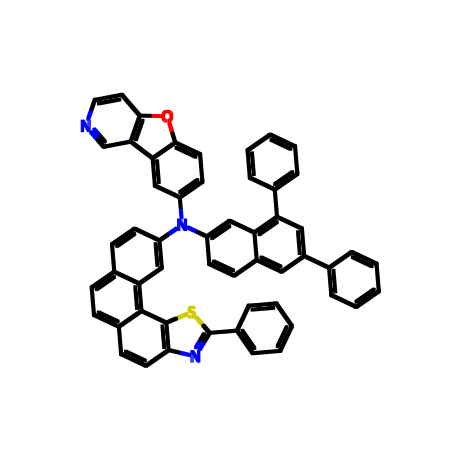 c1ccc(-c2cc(-c3ccccc3)c3cc(N(c4ccc5oc6ccncc6c5c4)c4ccc5ccc6ccc7nc(-c8ccccc8)sc7c6c5c4)ccc3c2)cc1